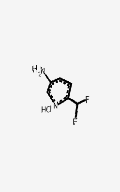 Cl.Nc1ccc(C(F)F)nc1